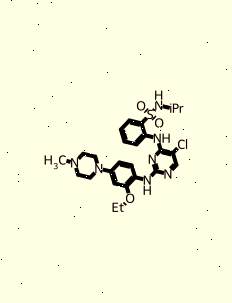 CCOc1cc(N2CCN(C)CC2)ccc1Nc1ncc(Cl)c(Nc2ccccc2S(=O)(=O)NC(C)C)n1